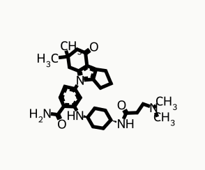 CN(C)CCC(=O)N[C@H]1CC[C@H](Nc2cc(-n3c4c(c5c3CC(C)(C)CC5=O)CCC4)ccc2C(N)=O)CC1